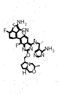 C[C@@H]1CN2[C@H](COc3nc(N(C)[C@H](C)c4cncnc4N)c4cc(Cl)c(-c5ccc(F)c6sc(N)c(C#N)c56)c(F)c4n3)CC[C@H]2CO1